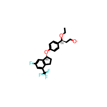 CCO[C@@H](CC[O])c1ccc(O[C@@H]2CCc3c2cc(F)cc3C(F)(F)F)cc1